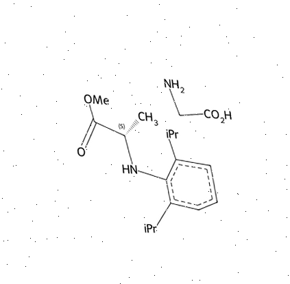 COC(=O)[C@H](C)Nc1c(C(C)C)cccc1C(C)C.NCC(=O)O